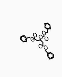 O=C(CC(CC(=O)OCc1ccccc1)OC(=O)OCc1ccccc1)OCc1ccccc1